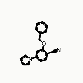 N#Cc1ccc(-n2cccc2)cc1OCc1ccccc1